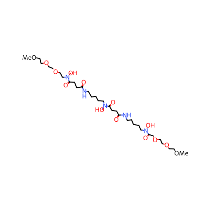 COCCOCCOCCN(O)C(=O)CCC(=O)NCCCCCN(O)C(=O)CCC(=O)NCCCCCN(O)C(=O)COCCOCCOC